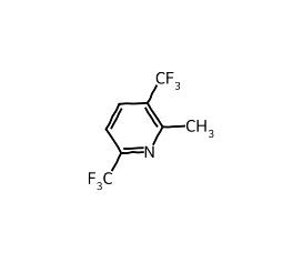 Cc1nc(C(F)(F)F)ccc1C(F)(F)F